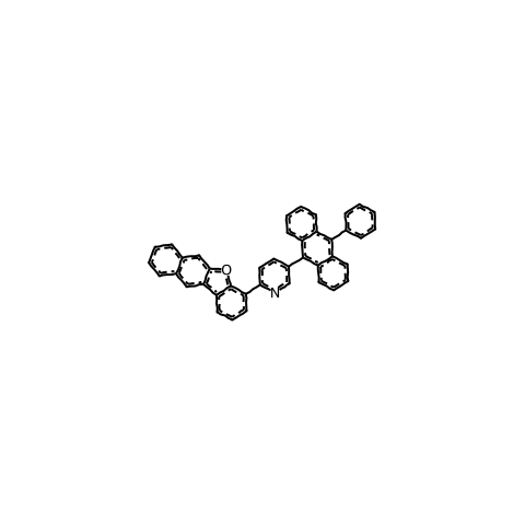 c1ccc(-c2c3ccccc3c(-c3ccc(-c4cccc5c4oc4cc6ccccc6cc45)nc3)c3ccccc23)cc1